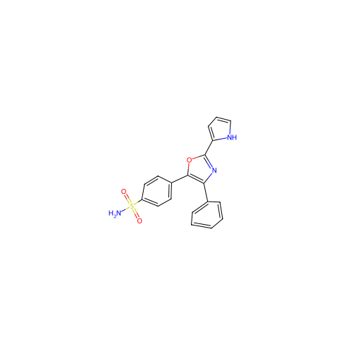 NS(=O)(=O)c1ccc(-c2oc(-c3ccc[nH]3)nc2-c2ccccc2)cc1